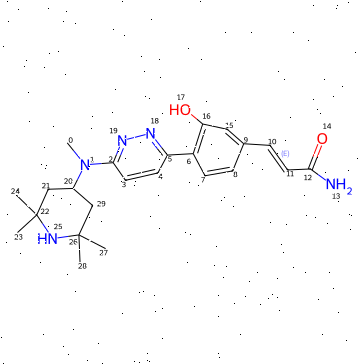 CN(c1ccc(-c2ccc(/C=C/C(N)=O)cc2O)nn1)C1CC(C)(C)NC(C)(C)C1